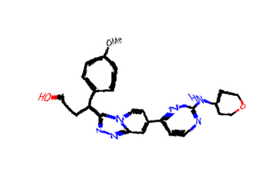 COc1ccc(C(CCO)c2nnc3cc(-c4ccnc(NC5CCOCC5)n4)ccn23)cc1